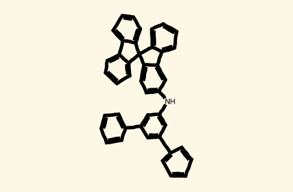 c1ccc(-c2cc(Nc3ccc4c(c3)-c3ccccc3C43c4ccccc4-c4ccccc43)cc(-c3ccccc3)c2)cc1